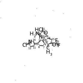 Cc1cc(C2(c3cccc(-c4ccc(Cl)nc4)c3)COCC(N)=N2)ccc1OC(F)F.Cl